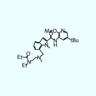 CCC(=O)N(CC)CCN(C)Cc1cccc2cc(C(=O)Nc3cc(C(C)(C)C)cnc3OC)n(C)c12